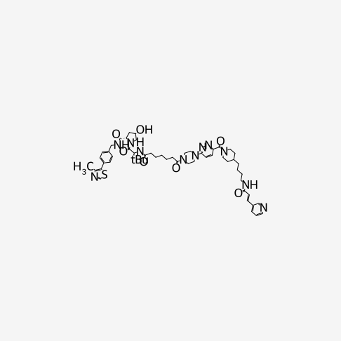 Cc1ncsc1-c1ccc(CNC(=O)[C@@H]2C[C@@H](O)CN2C(=O)[C@@H](NC(=O)CCCCCC(=O)N2CCN(c3ccc(C(=O)N4CCC(CCCCNC(=O)/C=C/c5cccnc5)CC4)nn3)CC2)C(C)(C)C)cc1